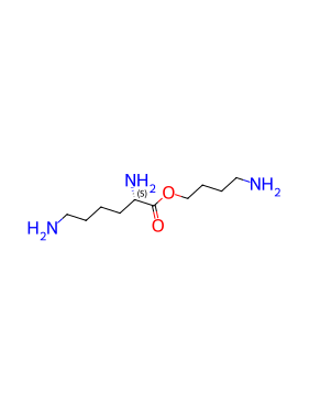 NCCCCOC(=O)[C@@H](N)CCCCN